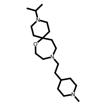 CC(C)N1CCC2(CCN(CCC3CCN(C)CC3)CCO2)CC1